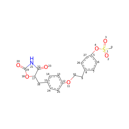 CS(=O)(=O)Oc1ccc(CCOc2ccc(CC3OC(=O)NC3=O)cc2)cc1